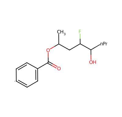 CCCC(O)C(F)CC(C)OC(=O)c1cc[c]cc1